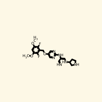 COc1cc(OC)c(F)c(COc2cnc(N/C(C=N)=C/NC3CCNC3)nc2)c1F